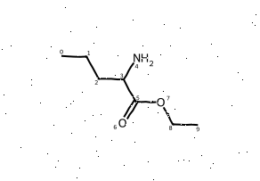 CCCC(N)C(=O)OCC